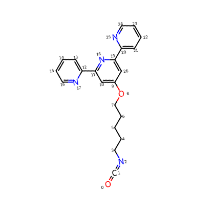 O=C=NCCCCCOc1cc(-c2ccccn2)nc(-c2ccccn2)c1